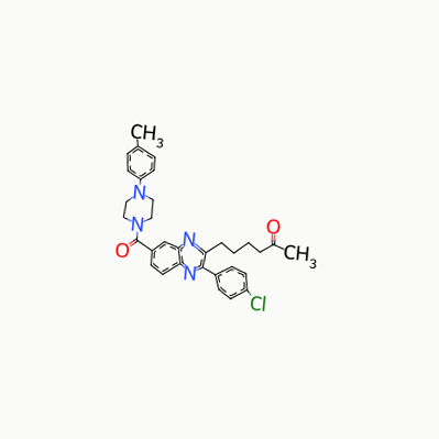 CC(=O)CCCCc1nc2cc(C(=O)N3CCN(c4ccc(C)cc4)CC3)ccc2nc1-c1ccc(Cl)cc1